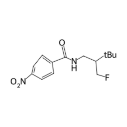 CC(C)(C)C(CF)CNC(=O)c1ccc([N+](=O)[O-])cc1